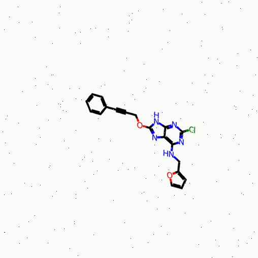 Clc1nc(NCc2ccco2)c2nc(OCC#Cc3ccccc3)[nH]c2n1